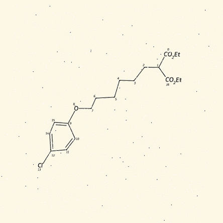 CCOC(=O)C(CCCCCCOc1ccc(Cl)cc1)C(=O)OCC